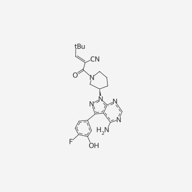 CC(C)(C)/C=C(\C#N)C(=O)N1CCC[C@@H](n2nc(-c3ccc(F)c(O)c3)c3c(N)ncnc32)C1